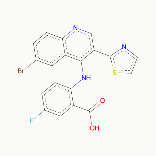 O=C(O)c1cc(F)ccc1Nc1c(-c2nccs2)cnc2ccc(Br)cc12